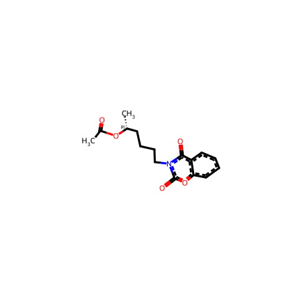 CC(=O)O[C@H](C)CCCCn1c(=O)oc2ccccc2c1=O